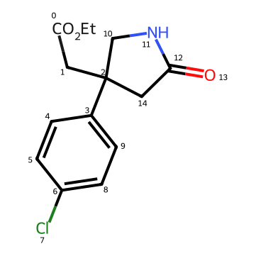 CCOC(=O)CC1(c2ccc(Cl)cc2)CNC(=O)C1